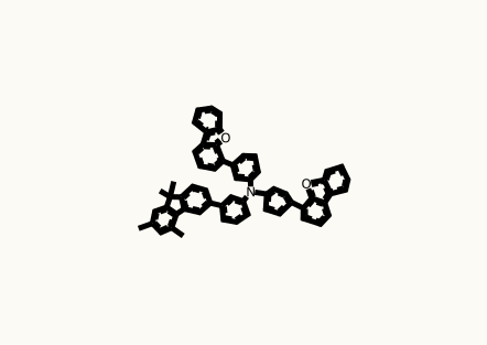 Cc1cc(C)c2c(c1)C(C)(C)c1ccc(-c3cccc(N(c4ccc(-c5cccc6c5oc5ccccc56)cc4)c4cccc(-c5cccc6c5oc5ccccc56)c4)c3)cc1-2